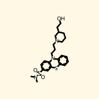 CN(C)S(=O)(=O)c1ccc2c(c1)Sc1ccccc1N2CCCN1CCCC(CCO)C1